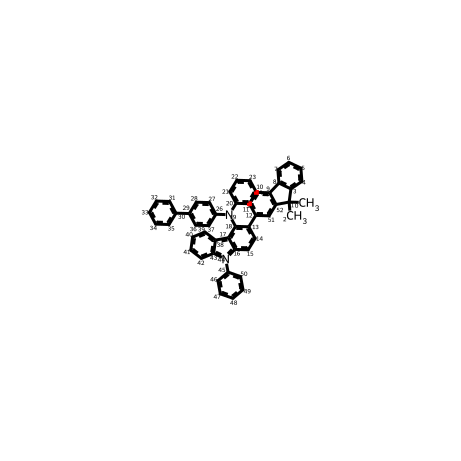 CC1(C)c2ccccc2-c2ccc(-c3ccc4c(c3N(c3ccccc3)c3ccc(-c5ccccc5)cc3)c3ccccc3n4-c3ccccc3)cc21